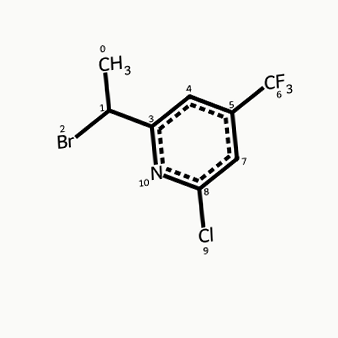 CC(Br)c1cc(C(F)(F)F)cc(Cl)n1